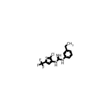 CCc1cccc(NC(=N)Nc2cc(C(F)(F)F)sc2Cl)c1